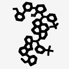 CCc1ccccc1-c1cccc(-c2cccc(N(c3cccc(C(C)(C)C)c3)c3ccc4ccc5c(N(c6cccc(C(C)(C)C)c6)c6cccc7c6oc6c(-c8ccccc8CC)cccc67)ccc6ccc3c4c65)c2O)c1